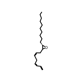 C=C/C=C\C/C=C\CC1O[C@@H]1CCCCCCCCCC